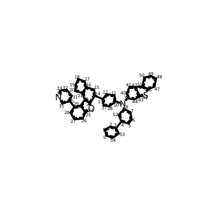 c1ccc(-c2cccc(N(c3ccc(-c4cc5ccccc5c5c4oc4cccc(-c6cccnc6)c45)cc3)c3ccc4c(c3)sc3ccccc34)c2)cc1